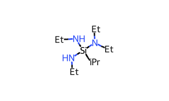 CCN[Si](NCC)(C(C)C)N(CC)CC